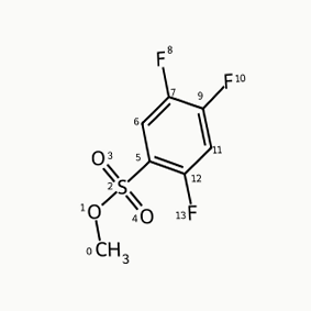 COS(=O)(=O)c1cc(F)c(F)cc1F